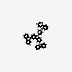 c1ccc2c(c1)c1ccccc1n2-c1ccc2c(c1)c1cc(-n3c4ccccc4c4ccccc43)ccc1n2-c1ccc(-n2c3ccccc3c3ncccc32)cn1